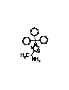 CC(N)c1ncn(C(c2ccccc2)(c2ccccc2)c2ccccc2)n1